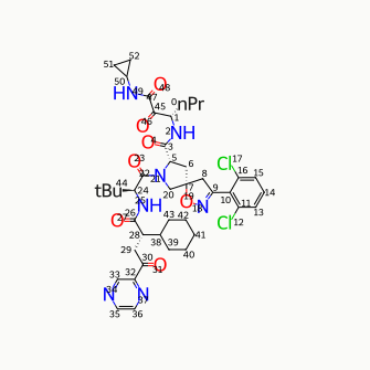 CCC[C@H](NC(=O)[C@@H]1C[C@@]2(CC(c3c(Cl)cccc3Cl)=NO2)CN1C(=O)[C@@H](NC(=O)[C@@H](CC(=O)c1cnccn1)C1CCCCC1)C(C)(C)C)C(=O)C(=O)NC1CC1